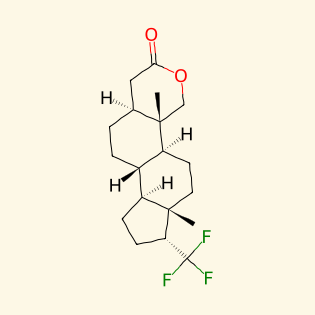 C[C@]12COC(=O)C[C@@H]1CC[C@@H]1[C@@H]2CC[C@@]2(C)[C@H]1CC[C@H]2C(F)(F)F